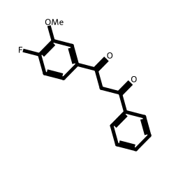 COc1cc(C(=O)CC(=O)c2ccccc2)ccc1F